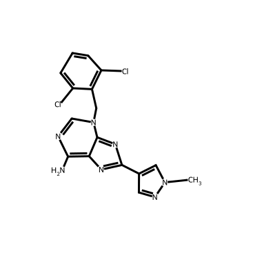 Cn1cc(-c2nc3c(N)ncn(Cc4c(Cl)cccc4Cl)c-3n2)cn1